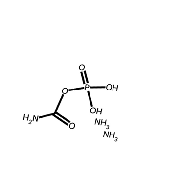 N.N.NC(=O)OP(=O)(O)O